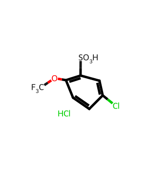 Cl.O=S(=O)(O)c1cc(Cl)ccc1OC(F)(F)F